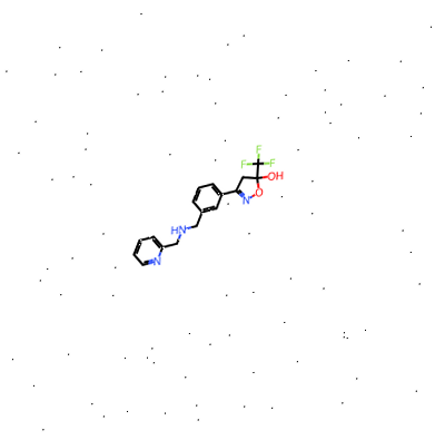 OC1(C(F)(F)F)CC(c2cccc(CNCc3ccccn3)c2)=NO1